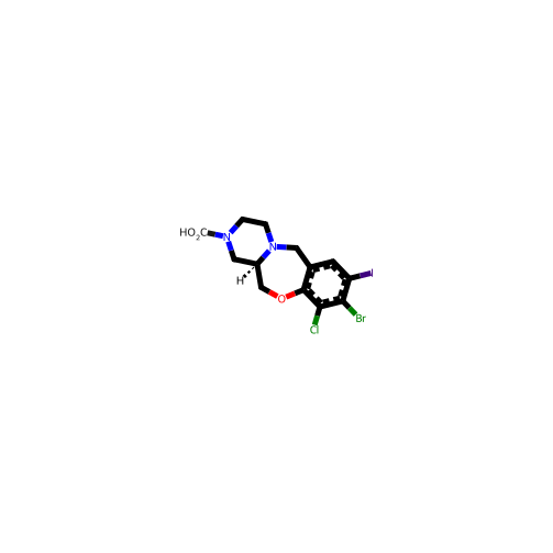 O=C(O)N1CCN2Cc3cc(I)c(Br)c(Cl)c3OC[C@H]2C1